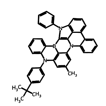 Cc1cc2c3c(c1)N1c4ccccc4-c4cccc5c4c1c(n5-c1ccccc1)B3c1ccccc1N2c1ccc(C(C)(C)C)cc1